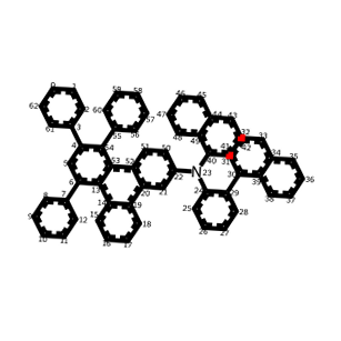 c1ccc(-c2cc(-c3ccccc3)c3c4ccccc4c4cc(N(c5ccccc5-c5cccc6ccccc56)c5cccc6ccccc56)ccc4c3c2-c2ccccc2)cc1